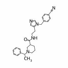 CC(c1ccccc1)N1CCCC(C(=O)NCCc2cncn2Cc2ccc(C#N)cc2)C1